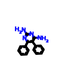 Nc1nc(N)c(-c2ccccc2)c(-c2ccccc2)n1